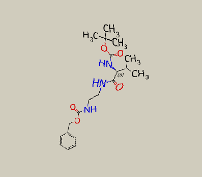 CC(C)[C@H](NC(=O)OC(C)(C)C)C(=O)NCCNC(=O)OCc1ccccc1